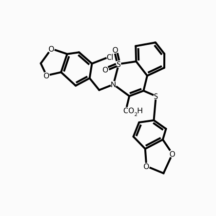 O=C(O)C1=C(Sc2ccc3c(c2)OCO3)c2ccccc2S(=O)(=O)N1Cc1cc2c(cc1Cl)OCO2